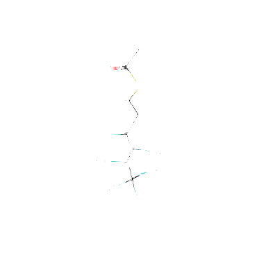 CC(=O)SCCC(F)C(F)C(F)C(F)(F)F